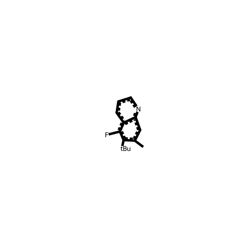 Cc1cc2ncccc2c(F)c1C(C)(C)C